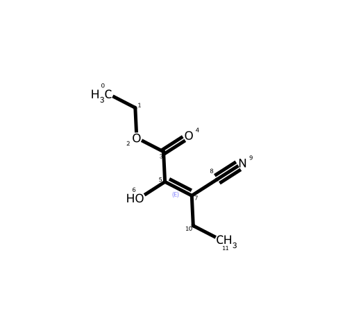 CCOC(=O)/C(O)=C(\C#N)CC